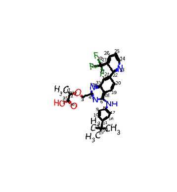 C[C@@H](OCc1nc(Nc2ccc(C(C)(C)C)cc2)c2ccc(-c3ncccc3C(F)(F)F)cc2n1)C(=O)O